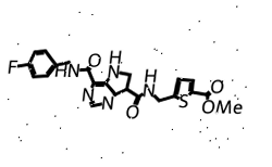 COC(=O)c1ccc(CNC(=O)C2CNc3c(C(=O)NCc4ccc(F)cc4)ncnc32)s1